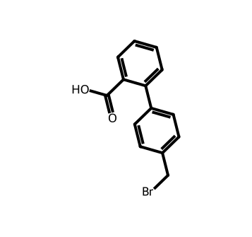 O=C(O)c1ccccc1-c1ccc(CBr)cc1